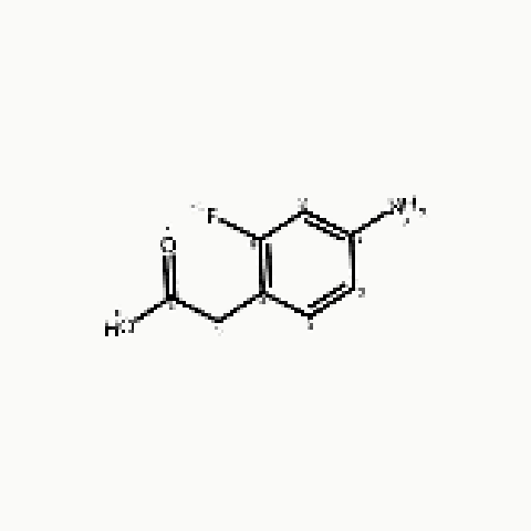 Nc1ccc(CC(=O)O)c(F)c1